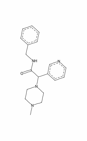 CN1CCN(C(C(=O)NCc2ccccc2)c2cccnc2)CC1